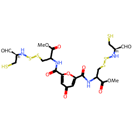 COC(=O)C(CSSN[C@H](C=O)CS)NC(=O)c1cc(=O)cc(C(=O)NC(CSSN[C@H](C=O)CS)C(=O)OC)o1